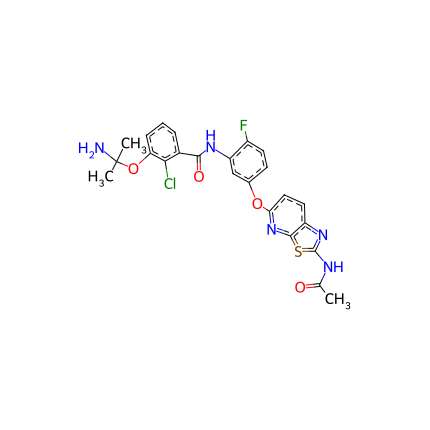 CC(=O)Nc1nc2ccc(Oc3ccc(F)c(NC(=O)c4cccc(OC(C)(C)N)c4Cl)c3)nc2s1